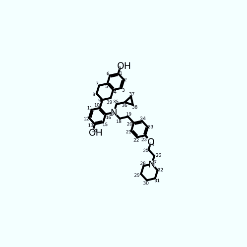 Oc1ccc2c(c1)CCC(c1ccc(O)cc1N(CCc1ccc(OCCN3CCCCC3)cc1)CC1CC1)C2